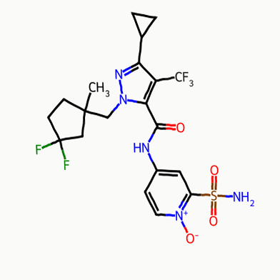 CC1(Cn2nc(C3CC3)c(C(F)(F)F)c2C(=O)Nc2cc[n+]([O-])c(S(N)(=O)=O)c2)CCC(F)(F)C1